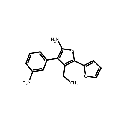 CCc1c(-c2ccco2)sc(N)c1-c1cccc(N)c1